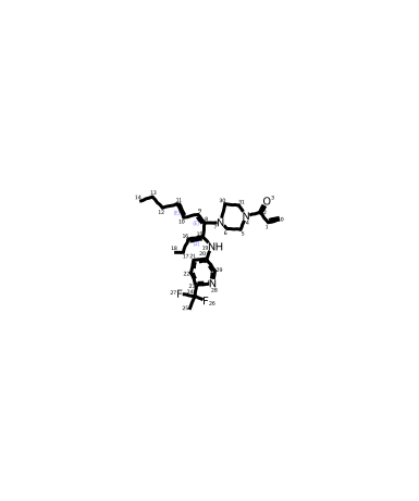 C=CC(=O)N1CCN(C(=C/C=C/CCC)/C(=C/CC)Nc2ccc(C(C)(F)F)nc2)CC1